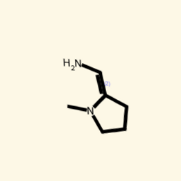 CN1CCC/C1=C/N